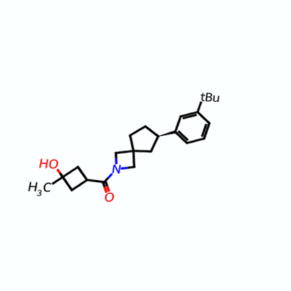 CC1(O)CC(C(=O)N2CC3(CC[C@@H](c4cccc(C(C)(C)C)c4)C3)C2)C1